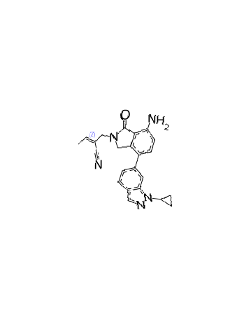 C/C=C(\C#N)CN1Cc2c(-c3ccc4cnn(C5CC5)c4c3)ccc(N)c2C1=O